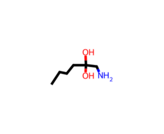 CCCCC(O)(O)CN